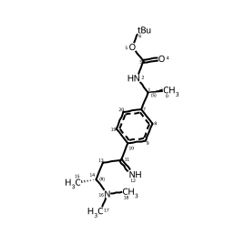 C[C@H](NC(=O)OC(C)(C)C)c1ccc(C(=N)C[C@@H](C)N(C)C)cc1